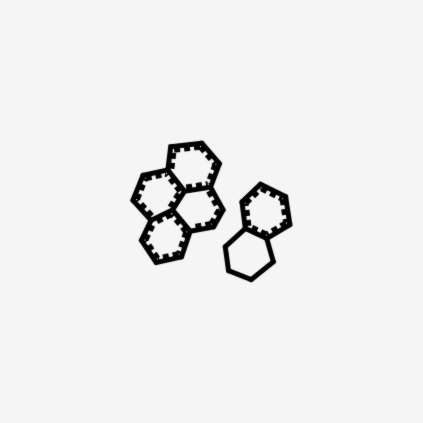 c1cc2ccc3cccc4ccc(c1)c2c34.c1ccc2c(c1)CCCC2